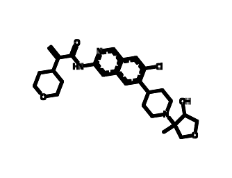 C=C(C(=O)Nc1cc2cc(C3CCN(C4(C)COCC4O)CC3)c(Cl)cc2cn1)C1CCOCC1